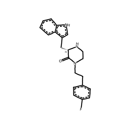 O=C1[C@H](Cc2c[nH]c3ccccc23)NCCN1CCc1ccc(F)cc1